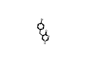 O=c1nc[nH]cc1Cc1ccc(Br)cc1